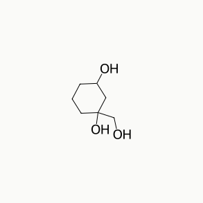 OCC1(O)CCCC(O)C1